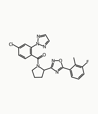 Cc1c(F)cccc1-c1nc(C2CCCN2C(=O)c2ccc(Cl)cc2-n2nccn2)no1